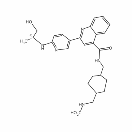 C[C@H](CO)Nc1ccc(-c2cc(C(=O)NCC3CCC(CNC(=O)O)CC3)c3ccccc3n2)cn1